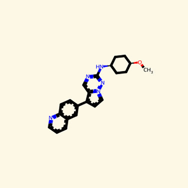 CO[C@H]1CC[C@@H](Nc2ncc3c(-c4ccc5ncccc5c4)ccn3n2)CC1